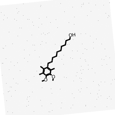 COc1c(C)c(C)c(CCCCCCCCCCO)c(C)c1OC